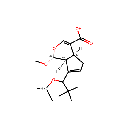 CO[C@@H]1OC=C(C(=O)O)[C@H]2CC=C(C(O[SiH](C)C)C(C)(C)C)[C@@H]12